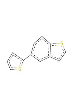 c1csc(-c2ccc3sccc3c2)c1